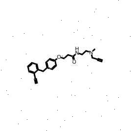 C#CCN(C)CCNC(=O)CCOc1ccc(Cc2ccccc2C#C)cc1